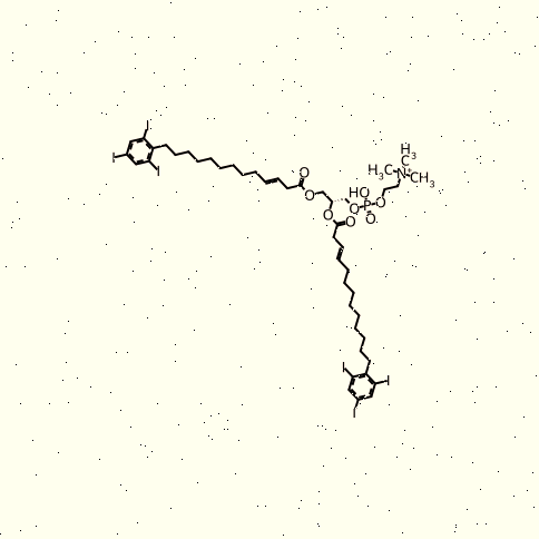 C[N+](C)(C)CCOP(=O)(O)OC[C@@H](COC(=O)CC=CCCCCCCCCCc1c(I)cc(I)cc1I)OC(=O)CC=CCCCCCCCCCc1c(I)cc(I)cc1I